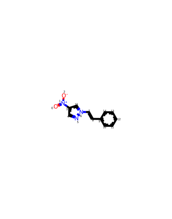 O=[N+]([O-])c1cnn(C=Cc2ccccc2)c1